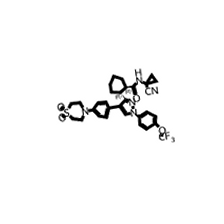 N#CC1(NC(=O)[C@@H]2CCCC[C@H]2c2nn(-c3ccc(OC(F)(F)F)cc3)cc2-c2ccc(N3CCS(=O)(=O)CC3)cc2)CC1